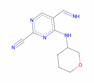 N#Cc1ncc(C=N)c(NC2CCCOC2)n1